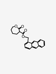 O=C1OCCCCC1C(=O)OCc1cccc2cc3ccccc3cc12